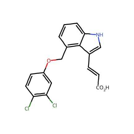 O=C(O)/C=C/c1c[nH]c2cccc(COc3ccc(Cl)c(Cl)c3)c12